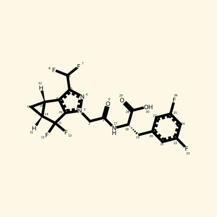 O=C(Cn1nc(C(F)F)c2c1C(F)(F)[C@@H]1C[C@H]21)N[C@@H](Cc1cc(F)cc(F)c1)C(=O)O